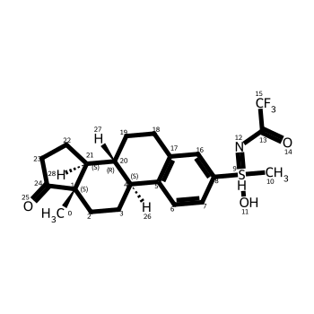 C[C@]12CC[C@@H]3c4ccc([SH](C)(O)=NC(=O)C(F)(F)F)cc4CC[C@H]3[C@@H]1CCC2=O